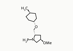 CO[C@@H]1C[C@@H](CO[C@H]2CC[C@H](C)CC2)N(P)C1